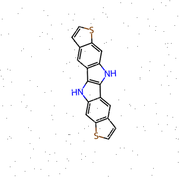 c1cc2cc3c(cc2s1)[nH]c1c2cc4ccsc4cc2[nH]c31